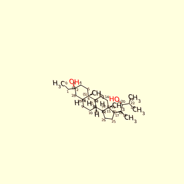 CC[C@]1(O)CC[C@@]2(C)[C@@H](CC[C@@H]3[C@@H]2CC[C@]2(C)[C@@H](C(C)C(O)C(C)C)CC[C@@H]32)C1